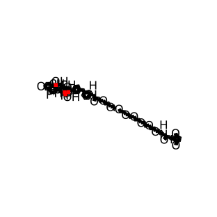 C[C@]12C=CC(=O)C=C1[C@@H](F)C[C@H]1[C@@H]3C[C@H]4O[C@@H](c5ccc(Cc6cccc(NC(=O)CCOCCOCCOCCOCCOCCOCCOCCOCCNC(=O)CCN7C(=O)C=CC7=O)c6)cc5)O[C@@]4(C(=O)CO)[C@@]3(C)C[C@H](O)[C@@]12F